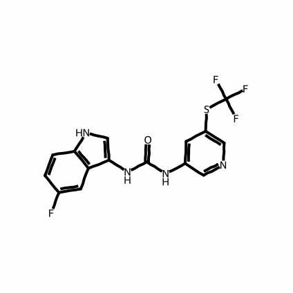 O=C(Nc1cncc(SC(F)(F)F)c1)Nc1c[nH]c2ccc(F)cc12